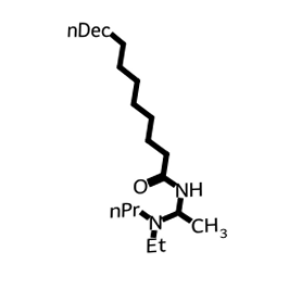 CCCCCCCCCCCCCCCCCC(=O)NC(C)N(CC)CCC